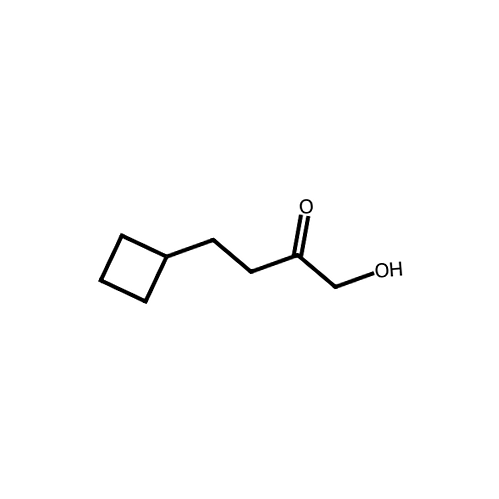 O=C(CO)CCC1CCC1